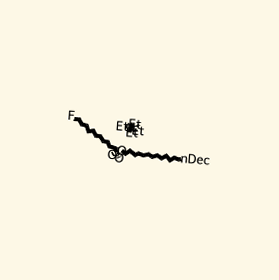 CCCCCCCCCCCCCCCCCCCCCCCOS(=O)(=O)CCCCCCCCCCCCF.CC[N+](CC)(CC)CC